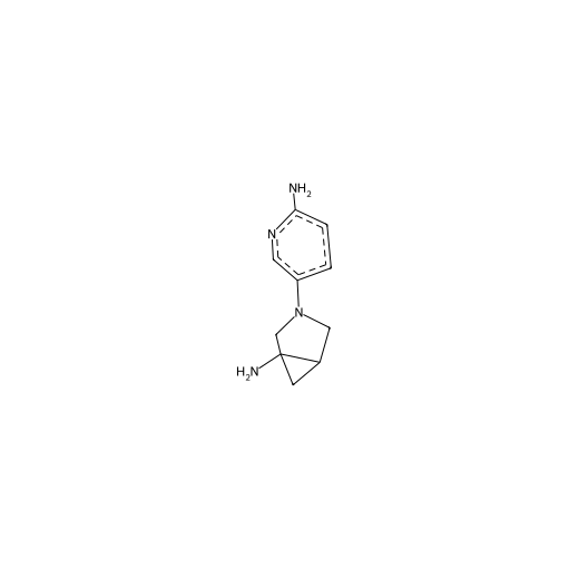 Nc1ccc(N2CC3CC3(N)C2)cn1